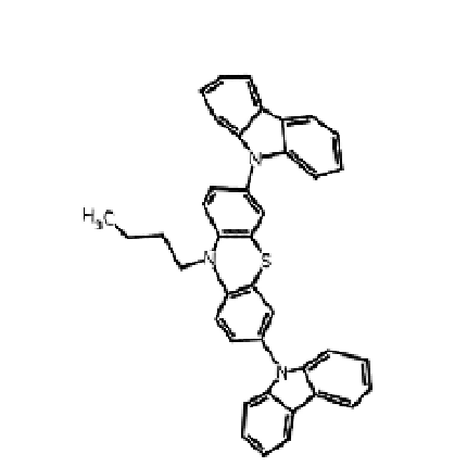 CCCCN1c2ccc(-n3c4ccccc4c4ccccc43)cc2Sc2cc(-n3c4ccccc4c4ccccc43)ccc21